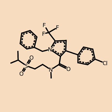 CC(C)S(=O)(=O)CCN(C)C(=O)c1c(-c2ccc(Cl)cc2)cc(C(F)(F)F)n1Cc1ccccc1